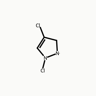 ClC1=CN(Cl)[N]C1